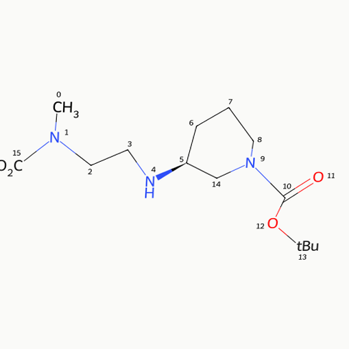 CN(CCN[C@H]1CCCN(C(=O)OC(C)(C)C)C1)C(=O)O